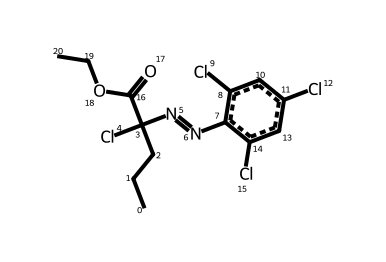 CCCC(Cl)(N=Nc1c(Cl)cc(Cl)cc1Cl)C(=O)OCC